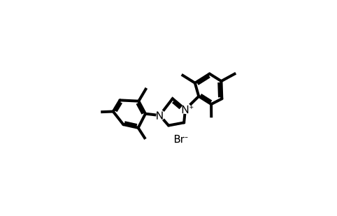 Cc1cc(C)c(N2C=[N+](c3c(C)cc(C)cc3C)CC2)c(C)c1.[Br-]